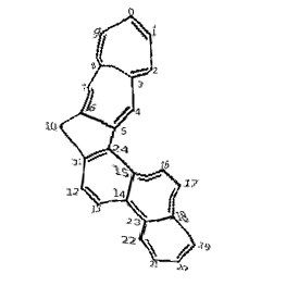 c1ccc2cc3c(cc2c1)Cc1ccc2c(ccc4ccccc42)c1-3